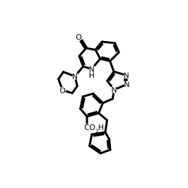 O=C(O)c1cccc(Cn2cc(-c3cccc4c(=O)cc(N5CCOCC5)[nH]c34)nn2)c1Cc1ccccc1